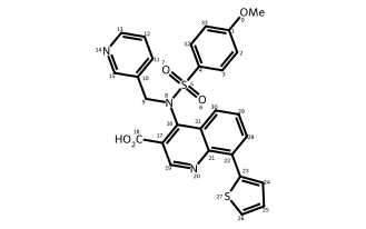 COc1ccc(S(=O)(=O)N(Cc2cccnc2)c2c(C(=O)O)cnc3c(-c4cccs4)cccc23)cc1